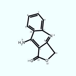 Nc1c2c(nc3ccccc13)COC2=O